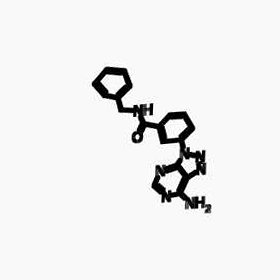 Nc1ncnc2c1nnn2-c1cccc(C(=O)NCc2ccccc2)c1